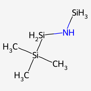 C[Si](C)(C)[SiH2]N[SiH3]